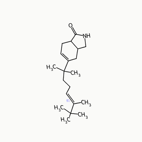 C/C(=C\CCC(C)(C)C1=CCC2C(=O)NCC2C1)C(C)(C)C